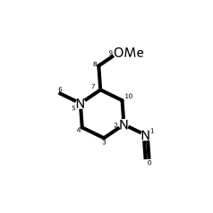 C=NN1CCN(C)C(COC)C1